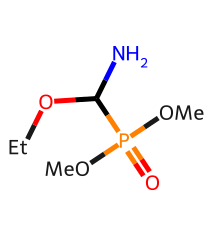 CCOC(N)P(=O)(OC)OC